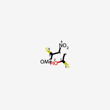 CC(O)=S.COC(=S)C[N+](=O)[O-]